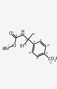 CCC(C)(NC(=O)OC(C)(C)C)c1ccc(C(=O)O)cc1